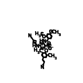 COc1ccc(CNc2nc(NC34CC(C#N)(C3)C4)nc(Oc3c(C)cc(/C=C/C#N)cc3C)c2[N+](=O)[O-])c(OC)c1